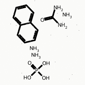 N.N.N.NC(N)=O.O=P(O)(O)O.c1ccc2ccccc2c1